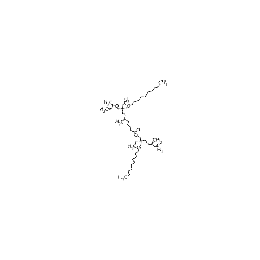 C=CC(=C)CCC(CC)(COCCCCCCCCCC)COC(=O)CCCCC(=C)CCC(CC)(COCCCCCCCCCC)COC(=C)C=C